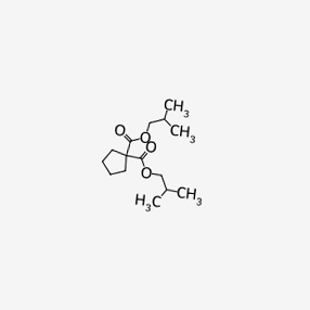 CC(C)COC(=O)C1(C(=O)OCC(C)C)CCCC1